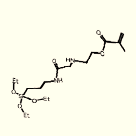 C=C(C)C(=O)OCCNCC(=O)NCCC[Si](OCC)(OCC)OCC